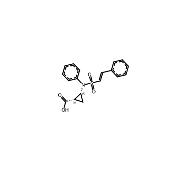 O=C(O)[C@H]1C[C@H]1N(c1ccccc1)S(=O)(=O)C=Cc1ccccc1